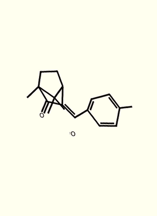 Cc1ccc(C=C2C(=O)C3(C)CCC2C3(C)C)cc1.[O]